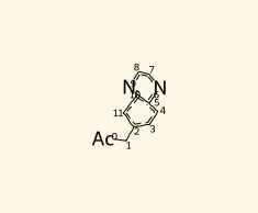 CC(=O)Cc1ccc2nccnc2c1